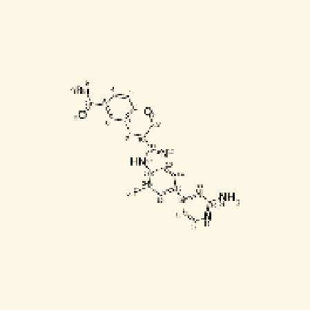 CCCCC(=O)c1ccc2c(c1)CC(c1nc3cc(-c4ccnc(N)n4)cc(F)c3[nH]1)CO2